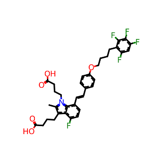 Cc1c(CCCC(=O)O)c2c(F)ccc(C=Cc3ccc(OCCCCc4c(F)cc(F)c(F)c4F)cc3)c2n1CCCC(=O)O